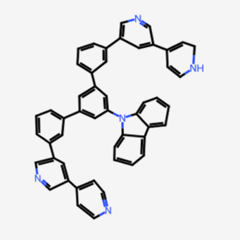 C1=CC(c2cncc(-c3cccc(-c4cc(-c5cccc(-c6cncc(-c7ccncc7)c6)c5)cc(-n5c6ccccc6c6ccccc65)c4)c3)c2)=CCN1